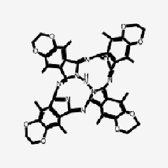 Cc1c2c(c(C)c3c1C1=NC/3=N\c3c4c(C)c5c(c(C)c4c4n3Nn3/c(c6c(C)c7c(c(C)c6/c3=N/C3=NC(=N\4)/c4c(C)c6c(c(C)c43)OCCO6)OCCO7)=N\1)OCCO5)OCCO2